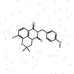 COc1ccc(Cn2c(=O)c3ccc(F)c4c3n(c2=O)CC(C)(C)O4)cc1